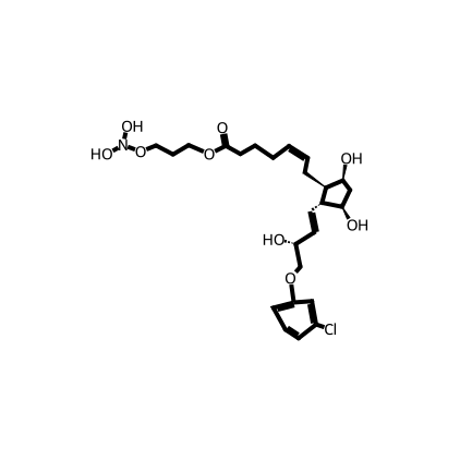 O=C(CCC/C=C\C[C@@H]1[C@@H](/C=C/[C@@H](O)COc2cccc(Cl)c2)[C@H](O)C[C@@H]1O)OCCCON(O)O